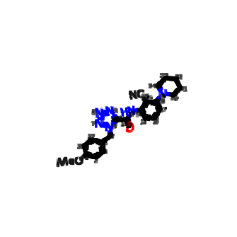 COc1ccc(Cn2nnnc2C(=O)Nc2cccc(N3CCCCC3)c2C#N)cc1